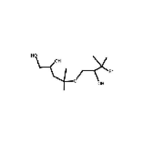 CC(C)C(C)(C)C(O)COC(C)(C)CC(O)CO